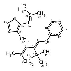 CC(C)=CC(=COc1ccccc1)C(C)(C)C.CC1=[C]([Ti][SiH](C)C)CC=C1